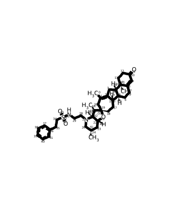 CC1=C2C[C@H]3[C@@H](CCC4=CC(=O)CC[C@@]43C)[C@@H]2CC[C@@]2(C1)O[C@@H]1C[C@H](C)CN(CCNS(=O)(=O)CCc3ccccc3)[C@H]1[C@H]2C